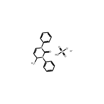 CC1C=CN(c2ccccc2)C(=O)N1c1ccccc1.O=S(=O)([O-])O.[H+]